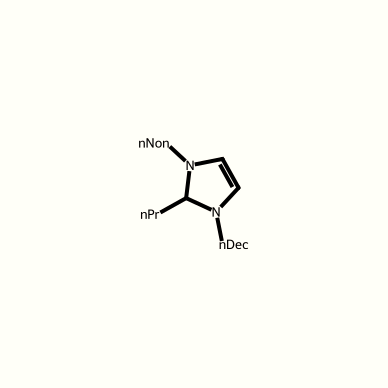 CCCCCCCCCCN1C=CN(CCCCCCCCC)C1CCC